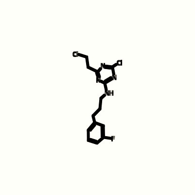 Fc1cccc(CCCNc2nc(Cl)nc(CCCl)n2)c1